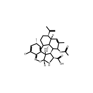 C=C(C)[C@@H]1CCC(C)[C@]2(O)C([C@H]3[C@@H](C(=O)O)N[C@@H]4ON=C5C(Cl)=C[C@H](C)C=C5[C@@]43O)C(OC(C)=O)C(C)=C[C@@H]12